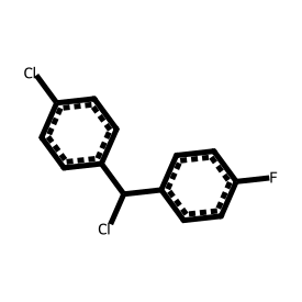 Fc1ccc(C(Cl)c2ccc(Cl)cc2)cc1